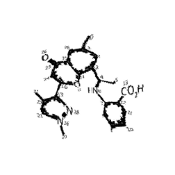 Cc1cc([C@@H](C)Nc2ccccc2C(=O)O)c2oc(-c3nn(C)cc3C)cc(=O)c2c1